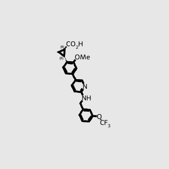 COc1cc(-c2ccc(NCc3cccc(OC(F)(F)F)c3)nc2)ccc1[C@@H]1C[C@H]1C(=O)O